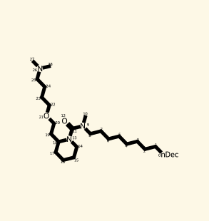 CCCCCCCCCCCCCCCCCCN(C)C(=O)N1CCCCC1CCOCCCCN(C)C